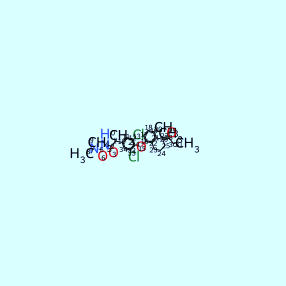 C=C(C(=O)NC(=O)N(C)C)c1cc(Cl)c(Oc2ccc(C)c3c2CCCC3(C)C(=O)CC)c(Cl)c1